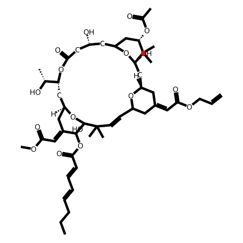 C=CCOC(=O)/C=C1/CC2/C=C/C(C)(C)[C@]3(O)O[C@@H](C/C(=C\C(=O)OC)C3OC(=O)/C=C/C=C/CCC)C[C@H]([C@@H](C)O)OC(=O)C[C@H](O)CC3C[C@H](OC(C)=O)C(C)(C)[C@](O)(C[C@H](C1)O2)O3